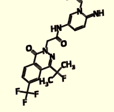 CC(C)(F)c1nn(CC(=O)Nc2ccc(=N)n(C=N)c2)c(=O)c2ccc(C(F)(F)F)cc12